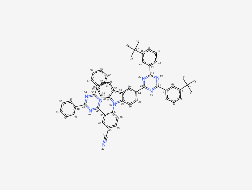 CC(C)(C)c1cccc(-c2nc(-c3cccc(C(C)(C)C)c3)nc(-c3ccc4c(c3)c3ccccc3n4-c3ccc(C#N)cc3-c3nc(-c4ccccc4)nc(-c4ccccc4)n3)n2)c1